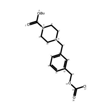 CC(C)COC(=O)N1CCN(Cc2cccc(COC(=O)Cl)c2)CC1